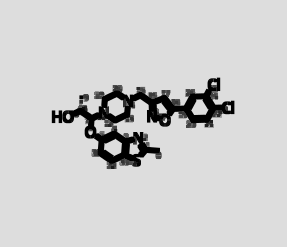 Cc1nc2cc(OC([C@@H](C)O)N3CCN(Cc4cc(-c5ccc(Cl)c(Cl)c5)on4)CC3)ccc2s1